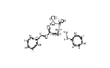 COC(=O)[C@H](CSc1ccccc1)NC(=O)OCc1ccccc1